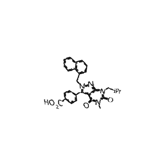 CC(C)Cn1c(=O)n(C)c(=O)c2c(-c3ccc(C(=O)O)cc3)n(Cc3cccc4ccccc34)nc21